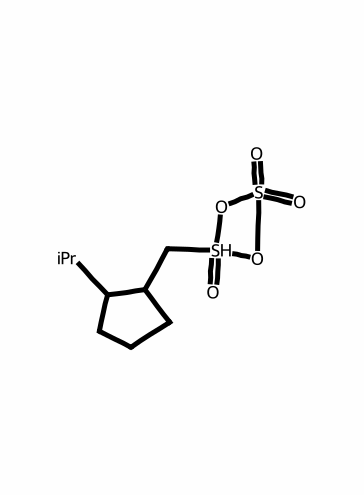 CC(C)C1CCCC1C[SH]1(=O)OS(=O)(=O)O1